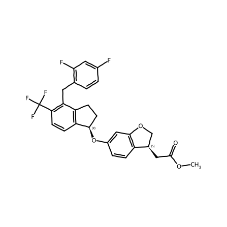 COC(=O)C[C@@H]1COc2cc(O[C@@H]3CCc4c3ccc(C(F)(F)F)c4Cc3ccc(F)cc3F)ccc21